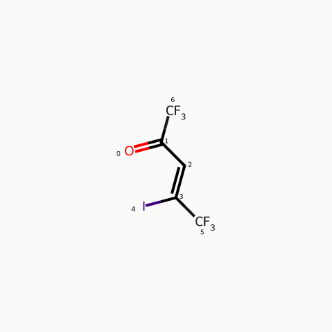 O=C(/C=C(\I)C(F)(F)F)C(F)(F)F